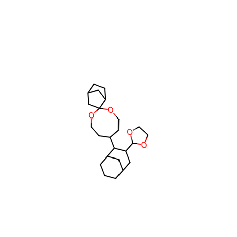 C1CC2CC(C1)C(C1CCOC3(CC4CCC3C4)OCC1)C(C1OCCO1)C2